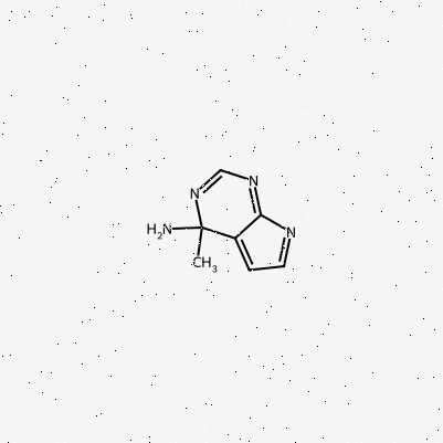 CC1(N)N=CN=C2N=CC=C21